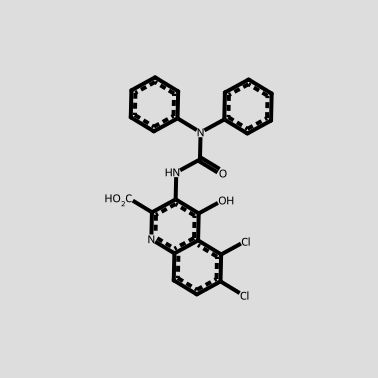 O=C(O)c1nc2ccc(Cl)c(Cl)c2c(O)c1NC(=O)N(c1ccccc1)c1ccccc1